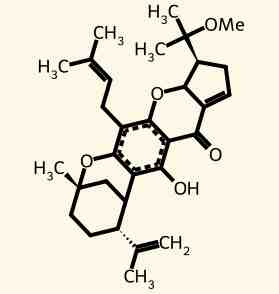 C=C(C)[C@@H]1CC[C@@]2(C)CC1c1c(O)c3c(c(CC=C(C)C)c1O2)OC1C(=CC[C@@H]1C(C)(C)OC)C3=O